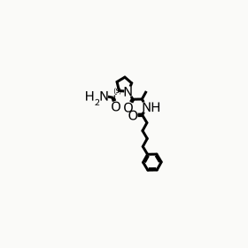 CC(NC(=O)CCCCc1ccccc1)C(=O)N1CCC[C@H]1C(N)=O